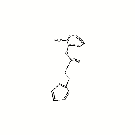 Cc1ccccc1OC(=O)CCc1ccccc1